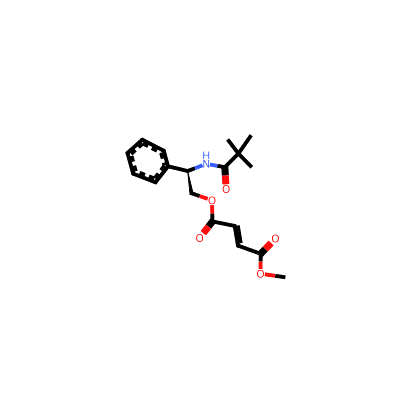 COC(=O)/C=C/C(=O)OC[C@H](NC(=O)C(C)(C)C)c1ccccc1